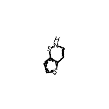 C1=Cc2sccc2SN1